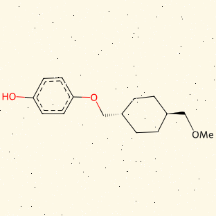 COC[C@H]1CC[C@H](COc2ccc(O)cc2)CC1